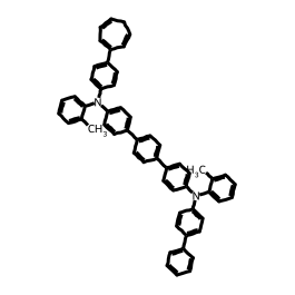 Cc1ccccc1N(c1ccc(C2=CC=CCC=C2)cc1)c1ccc(-c2ccc(-c3ccc(N(c4ccc(-c5ccccc5)cc4)c4ccccc4C)cc3)cc2)cc1